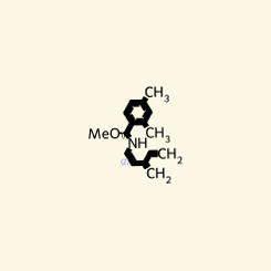 C=CC(=C)/C=C\N[C@H](OC)c1ccc(C)cc1C